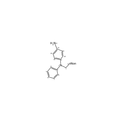 CCCCCCCCCCN(c1ccccc1)c1ccc(N)cc1